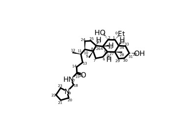 CC[C@H]1[C@@H](O)[C@@H]2[C@H](CC[C@]3(C)[C@@H]([C@H](C)CCC(=O)NCN4CCCC4)CC[C@@H]23)[C@@]2(C)CC[C@@H](O)C[C@@H]12